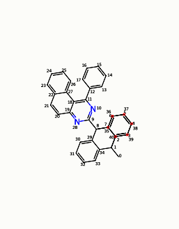 CC12c3ccccc3C(c3nc(-c4ccccc4)c4c(ccc5ccccc54)n3)(c3ccccc31)c1ccccc12